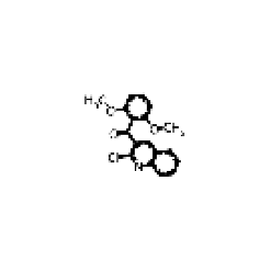 COc1cccc(OC)c1C(=O)c1cc2ccccc2nc1Cl